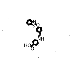 O=C(O)C1CCC(NCCc2ccc(Oc3nc4ccccc4s3)cc2)CC1